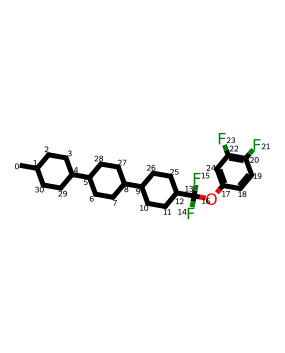 CC1CCC(C2CCC(C3CCC(C(F)(F)Oc4ccc(F)c(F)c4)CC3)CC2)CC1